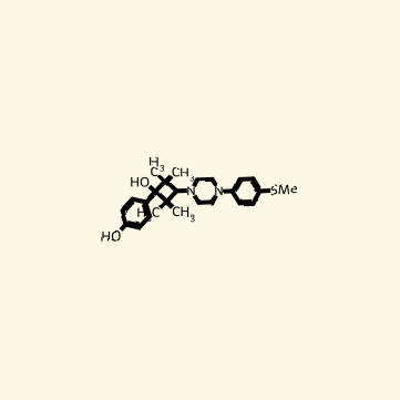 CSc1ccc(N2CCN(C3C(C)(C)C(O)(c4ccc(O)cc4)C3(C)C)CC2)cc1